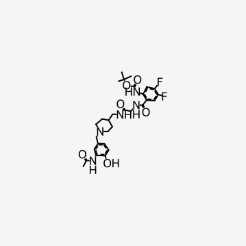 CC(=O)Nc1cc(CN2CCC(CNC(=O)CNC(=O)c3cc(F)c(F)cc3NC(=O)OC(C)(C)C)CC2)ccc1O